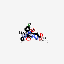 COC(=O)c1cc2n(n1)CC(C)(C(=O)NC1CCCC1)N(c1cc(Cl)ccc1C)C2=O